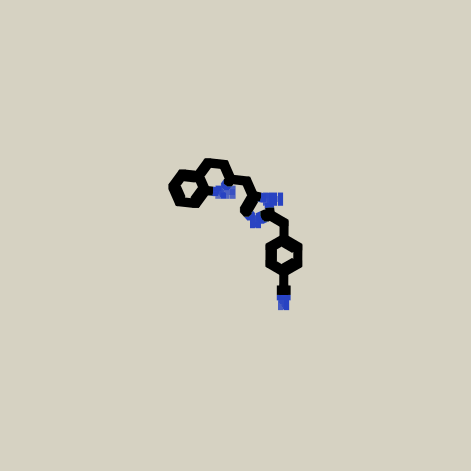 N#Cc1ccc(Cc2ncc(CC3CCc4ccccc4N3)[nH]2)cc1